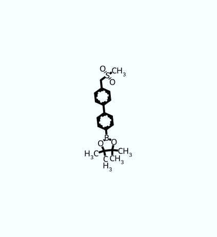 CC1(C)OB(c2ccc(-c3ccc(CS(C)(=O)=O)cc3)cc2)OC1(C)C